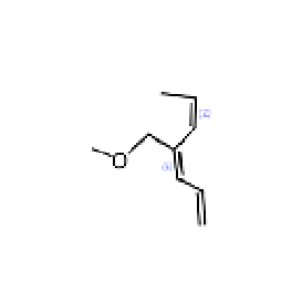 C=C/C=C(\C=C/C)COC